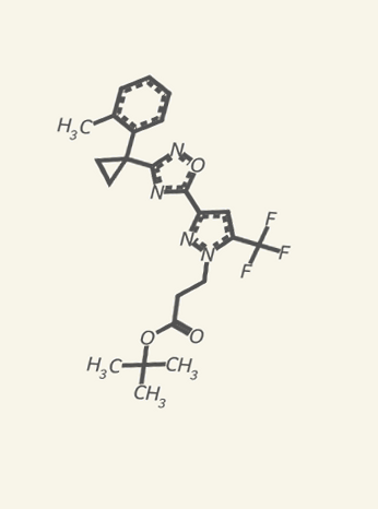 Cc1ccccc1C1(c2noc(-c3cc(C(F)(F)F)n(CCC(=O)OC(C)(C)C)n3)n2)CC1